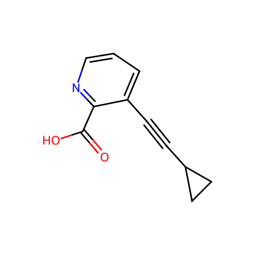 O=C(O)c1ncccc1C#CC1CC1